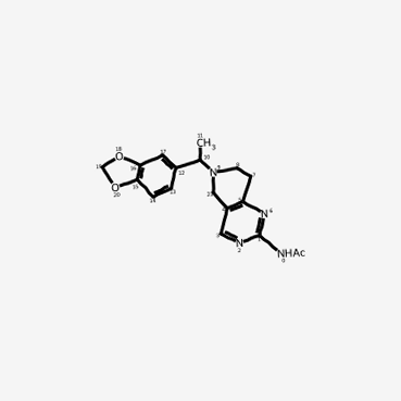 CC(=O)Nc1ncc2c(n1)CCN(C(C)c1ccc3c(c1)OCO3)C2